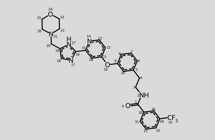 O=C(NCCc1cccc(Oc2ccnc(-c3ncc(CN4CCOCC4)[nH]3)c2)c1)c1cccc(C(F)(F)F)c1